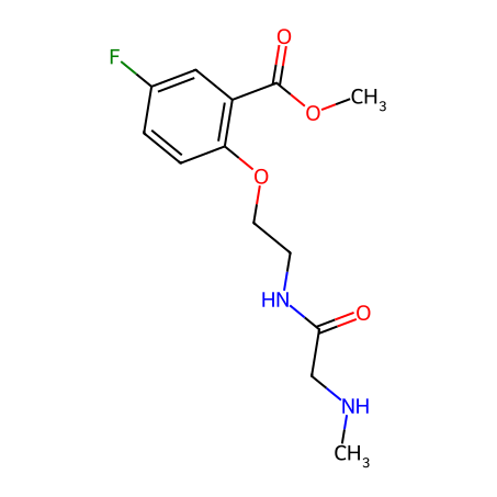 CNCC(=O)NCCOc1ccc(F)cc1C(=O)OC